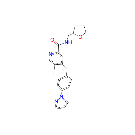 Cc1cnc(C(=O)NCC2CCCO2)cc1Cc1ccc(-n2cccn2)cc1